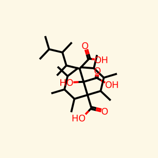 CC(C)C(C)C(C)C(C(=O)O)C(O)(C(=O)O)C(C(=O)O)(C(C)C(C)C(C)C)C(C)C(C)C(C)C